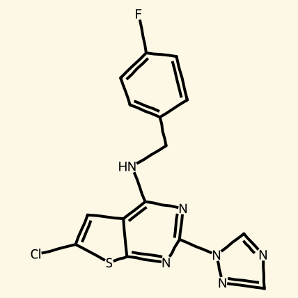 Fc1ccc(CNc2nc(-n3cncn3)nc3sc(Cl)cc23)cc1